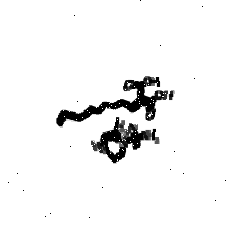 CC(N)(N)N1CCNCC1.CCCCCCCCCC(C(=O)O)C(=O)O